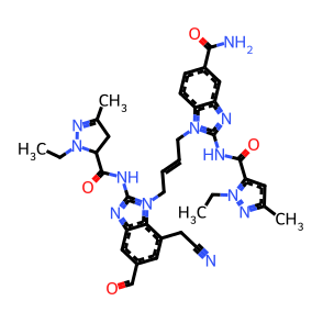 CCN1N=C(C)CC1C(=O)Nc1nc2cc(C=O)cc(CC#N)c2n1C/C=C/Cn1c(NC(=O)c2cc(C)nn2CC)nc2cc(C(N)=O)ccc21